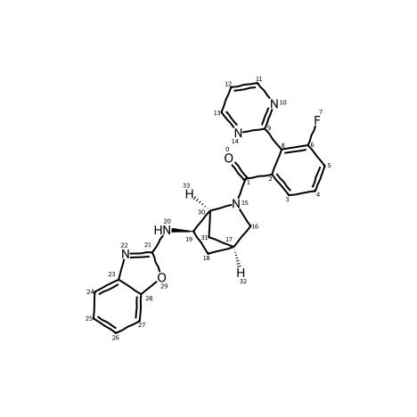 O=C(c1cccc(F)c1-c1ncccn1)N1C[C@H]2C[C@@H](Nc3nc4ccccc4o3)[C@@H]1C2